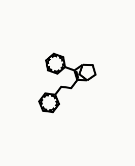 c1ccc(CCC2=C(c3ccccc3)C3CCC2C3)cc1